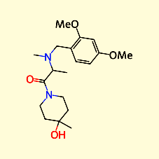 COc1ccc(CN(C)C(C)C(=O)N2CCC(C)(O)CC2)c(OC)c1